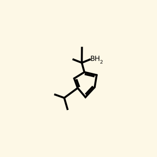 BC(C)(C)c1cccc(C(C)C)c1